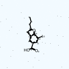 CCCc1cc2cc(C(=O)O)cc(I)c2o1